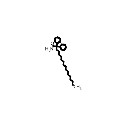 CCCCCCCCC=CCCCCCCC(C(N)=O)(c1ccccc1)c1ccccc1